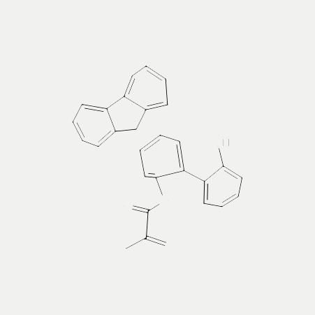 C=C(C)C(=O)Oc1ccccc1-c1ccccc1O.c1ccc2c(c1)Cc1ccccc1-2